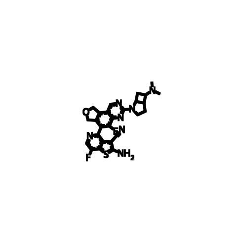 CN(C)C1CC2C1CCN2c1ncc2c3c(c(-c4ncc(F)c5sc(N)c(C#N)c45)c(F)c2n1)COC3